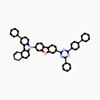 C1=Cc2c(ccc3c2c2cc(-c4ccccc4)ccc2n3-c2ccc3c(c2)oc2cc(-c4nc(-c5ccccc5)nc(-c5ccc(-c6ccccc6)cc5)n4)ccc23)CC1